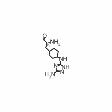 Nc1n[nH]c(NC2CCC(C[C@H](N)C=O)CC2)n1